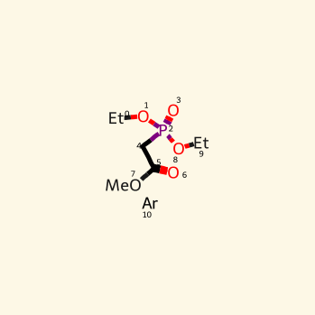 CCOP(=O)(CC(=O)OC)OCC.[Ar]